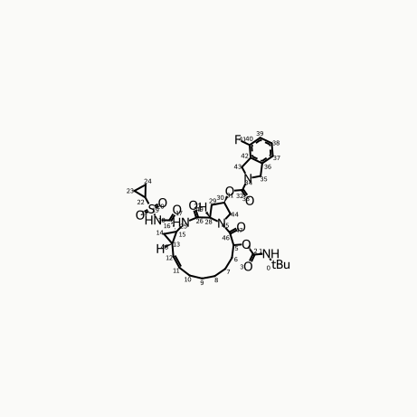 CC(C)(C)NC(=O)OC1CCCCC/C=C\[C@@H]2C[C@@]2(C(=O)NS(=O)(=O)C2CC2)NC(=O)[C@@H]2C[C@@H](OC(=O)N3Cc4cccc(F)c4C3)CN2C1=O